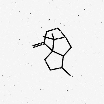 C=C1CCC2CC3C(C)CCC13C2(C)C